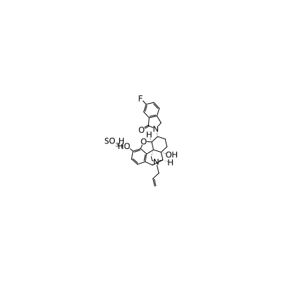 C=CCN1CC[C@]23c4c5ccc(O)c4O[C@H]2[C@H](N2Cc4ccc(F)cc4C2=O)CC[C@@]3(O)[C@H]1C5.CS(=O)(=O)O